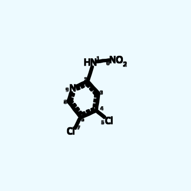 O=[N+]([O-])Nc1cc(Cl)c(Cl)cn1